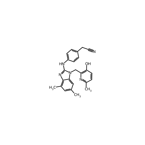 Cc1cc(C)c2nc(Nc3ccc(CC#N)cc3)n(Cc3nc(C)ccc3O)c2c1